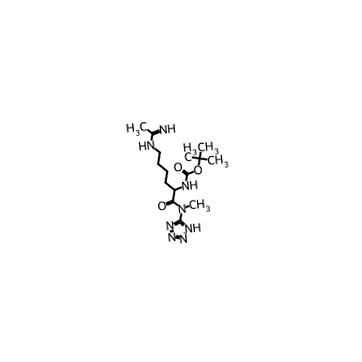 CC(=N)NCCCCC(NC(=O)OC(C)(C)C)C(=O)N(C)c1nnn[nH]1